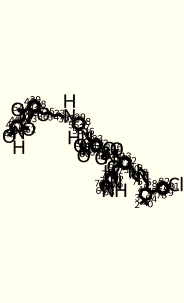 CC1(C)CCC(CN2CCN(c3ccc(C(=O)NS(=O)(=O)c4ccc(NC[C@H]5CC[C@@H](NCCCCOc6cccc7c6CN(C6CCC(=O)NC6=O)C7=O)CC5)c([N+](=O)[O-])c4)c(Oc4cnc5[nH]ccc5c4)c3)CC2)=C(c2ccc(Cl)cc2)C1